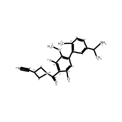 COc1c(-c2cc(C(C)N)ccc2C)cc(Cl)c(C(=O)N2CC(C#N)C2)c1F